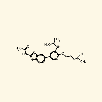 CC(=O)Nc1nc2ccc(-c3cnc(OCCCN(C)C)c(NC(C)C)c3)cc2s1